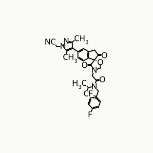 Cc1nn(CC#N)c(C)c1-c1ccc2c(c1)CC(=O)[C@]21OCN(CC(=O)N(Cc2ccc(F)cc2)C(C)C(F)(F)F)C1=O